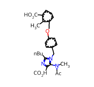 CCCCc1nc(C(=O)O)c(N(C)C(C)=O)n1Cc1ccc(OCc2cccc(C(=O)O)c2C)cc1